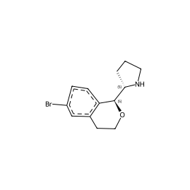 Brc1ccc2c(c1)CCO[C@@H]2[C@@H]1CCCN1